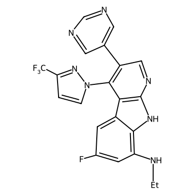 CCNc1cc(F)cc2c1[nH]c1ncc(-c3cncnc3)c(-n3ccc(C(F)(F)F)n3)c12